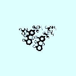 CC(N)=O.CC(N)=O.CS(=O)(=O)c1ccc(C(=O)C2C(=O)CCCC2=O)c(Cl)c1.CS(=O)(=O)c1ccc(C(=O)C2C(=O)CCCC2=O)c(Cl)c1